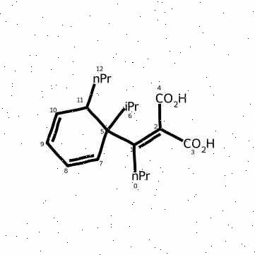 CCCC(=C(C(=O)O)C(=O)O)C1(C(C)C)C=CC=CC1CCC